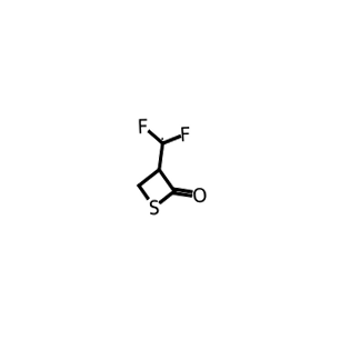 O=C1SCC1[C](F)F